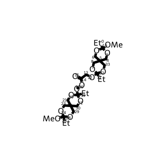 CCC1(OC)OCC2(CO1)COC(CC)(OCC(=O)OOC1(CC)OCC3(COC(CC)(OC)OC3)CO1)OC2